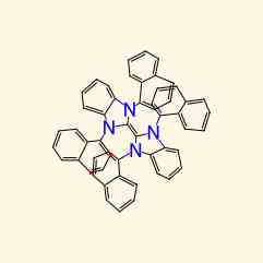 c1ccc2c(c1)N(c1cccc3ccccc13)C(=C1N(c3cccc4ccccc34)c3ccccc3N1c1cccc3ccccc13)N2c1cccc2ccccc12